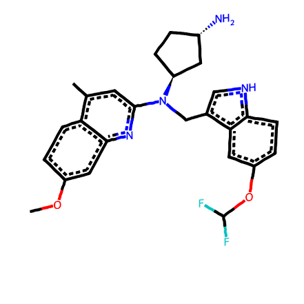 COc1ccc2c(C)cc(N(Cc3c[nH]c4ccc(OC(F)F)cc34)[C@H]3CC[C@H](N)C3)nc2c1